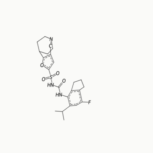 CC(C)c1cc(F)c2c(c1NC(=O)NS(=O)(=O)c1cc3c(o1)C1CCN(CC1)C3)CCC2